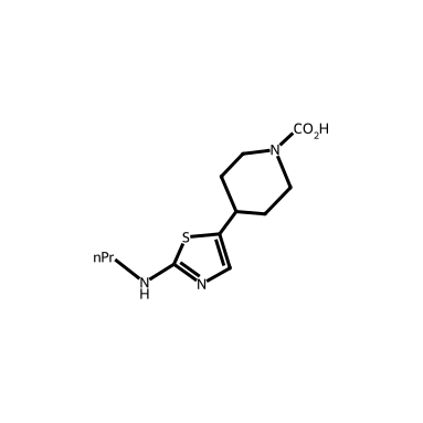 CCCNc1ncc(C2CCN(C(=O)O)CC2)s1